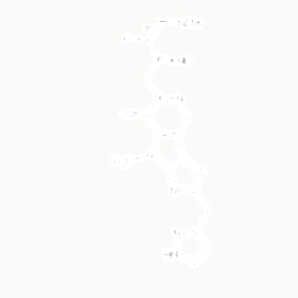 CN/C=C(/F)C(=N)Cn1ncc2c3sc(Cc4cc[nH]n4)nc3n(C)c2c1=O